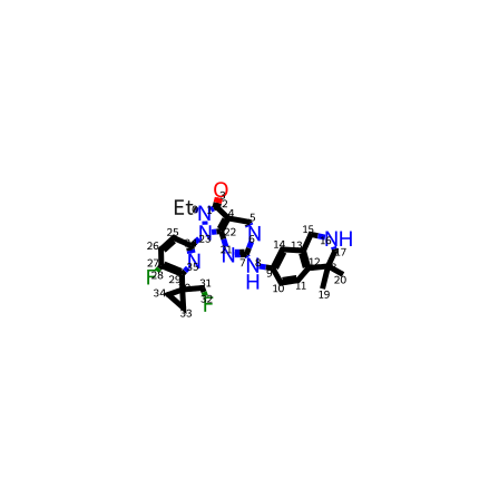 CCn1c(=O)c2cnc(Nc3ccc4c(c3)CNCC4(C)C)nc2n1-c1ccc(F)c(C2(CF)CC2)n1